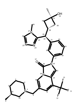 C[C@H]1CCCN(Cc2cc(C(F)(F)F)c3cn(-c4cccc([C@@H](c5nncn5C)[C@H]5C[C@](C)(O)C5)c4)c(=O)n3c2)C1